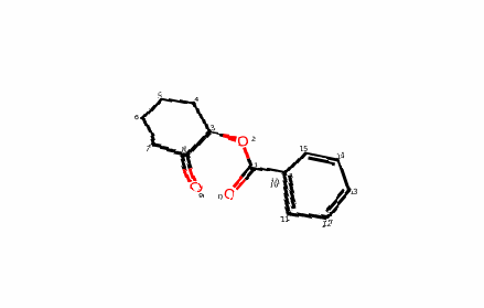 O=C(O[C@@H]1CCCCC1=O)c1ccccc1